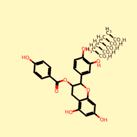 CC(=O)O.CC(=O)O.CC(=O)O.CC(=O)O.CC(=O)O.O=C(OC1Cc2c(O)cc(O)cc2OC1c1ccc(O)c(O)c1)c1ccc(O)cc1